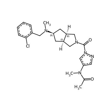 CC(=O)N(C)c1cnn(C(=O)N2C[C@H]3C[C@@H](N(C)Cc4ccccc4Cl)C[C@H]3C2)c1